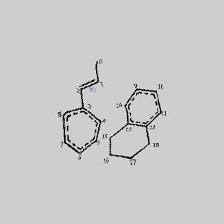 C/C=C/c1ccccc1.c1ccc2c(c1)CCCC2